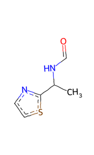 CC(NC=O)c1nccs1